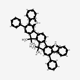 CC1(C)c2cc(-c3ccccc3)c3c(oc4ccccc43)c2-c2ccc3c(c21)C(C)(C)c1cc(-c2ccccc2)c2c(oc4ccccc42)c1-3